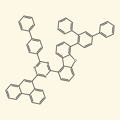 c1ccc(-c2ccc(-c3nc(-c4cc5ccccc5c5ccccc45)nc(-c4cccc5oc6c(-c7ccc(-c8ccccc8)cc7-c7ccccc7)cccc6c45)n3)cc2)cc1